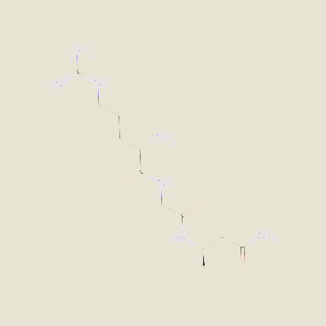 N=C(N)NCCC[C@H](N)C(=O)NCC(=O)N[C@@H](CC(N)=O)C(=O)O